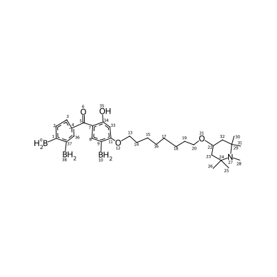 Bc1ccc(C(=O)c2cc(B)c(OCCCCCCCCOC3CC(C)(C)N(C)C(C)(C)C3)cc2O)cc1B